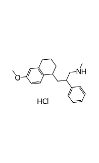 CNCC(CC1CCCc2cc(OC)ccc21)c1ccccc1.Cl